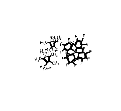 Cc1c(C)c(C)[c-](C)c1C.Cc1c(C)c(C)[c-](C)c1C.Fc1c(F)c(F)c([B-](c2c(F)c(F)c(F)c(F)c2F)(c2c(F)c(F)c(F)c(F)c2F)c2c(F)c(F)c(F)c(F)c2F)c(F)c1F.[Fe+2]